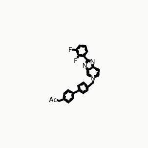 CC(=O)Cc1ccc(-c2ccc(Cn3ccc4nc(-c5cccc(F)c5F)nc-4c3)cc2)cc1